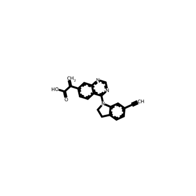 C#Cc1ccc2c(c1)N(c1ncnc3cc(C(=C)C(=O)O)ccc13)CC2